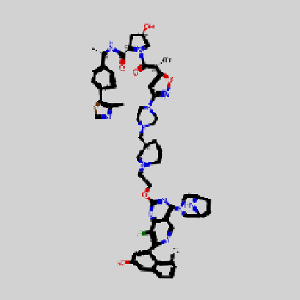 CCc1cccc2cc(O)cc(-c3ncc4c(N5CC6CCC(C5)N6)nc(OCCN5CCC[C@H](CN6CCN(c7cc([C@H](C(=O)N8C[C@H](O)C[C@H]8C(=O)N[C@@H](C)c8ccc(-c9scnc9C)cc8)C(C)C)on7)CC6)C5)nc4c3F)c12